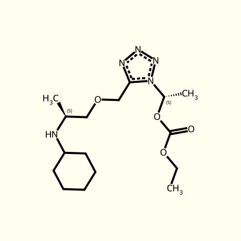 CCOC(=O)O[C@@H](C)n1nnnc1COC[C@H](C)NC1CCCCC1